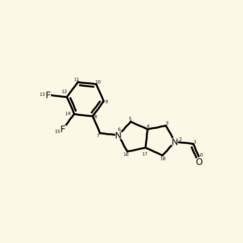 O=CN1CC2CN(Cc3cccc(F)c3F)CC2C1